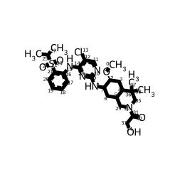 CO[C@@H]1CC2C(CC1Nc1ncc(Cl)c(Nc3ccccc3S(=O)(=O)C(C)C)n1)CN(C(=O)CO)CC2(C)C